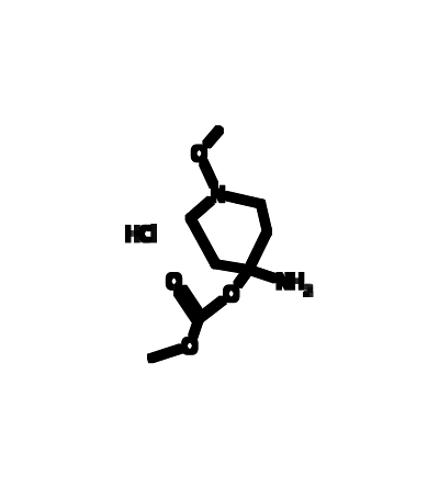 COC(=O)OC1(N)CCN(OC)CC1.Cl